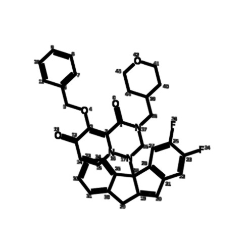 O=C1c2c(OCc3ccccc3)c(=O)ccn2N(C23C(=Cc4cc(F)c(F)cc42)Cc2ccccc23)CN1CC1CCOCC1